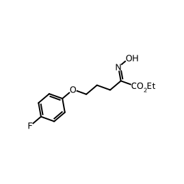 CCOC(=O)C(CCCOc1ccc(F)cc1)=NO